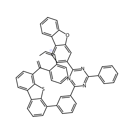 C=C(c1ccccc1/C=C\C)c1cccc2c1sc1c(-c3cccc(-c4nc(-c5ccccc5)nc(-c5ccc6c(c5)oc5ccccc56)n4)c3)cccc12